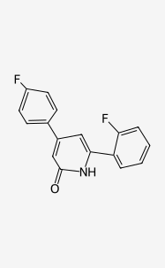 O=c1cc(-c2ccc(F)cc2)cc(-c2ccccc2F)[nH]1